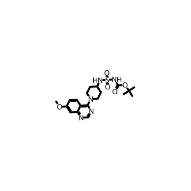 COc1ccc2c(N3CCC(NS(=O)(=O)NC(=O)OC(C)(C)C)CC3)ncnc2c1